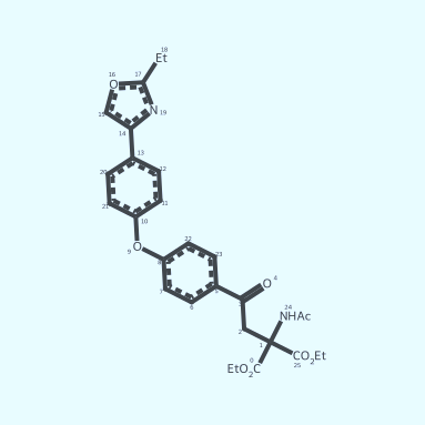 CCOC(=O)C(CC(=O)c1ccc(Oc2ccc(-c3coc(CC)n3)cc2)cc1)(NC(C)=O)C(=O)OCC